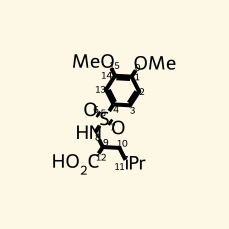 COc1ccc(S(=O)(=O)NC(CC(C)C)C(=O)O)cc1OC